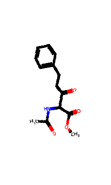 COC(=O)C(NC(C)=O)C(=O)CCc1ccccc1